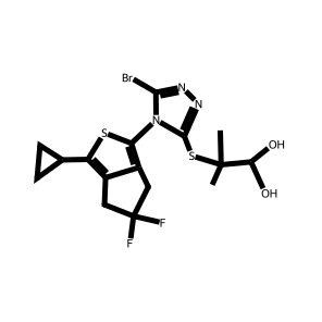 CC(C)(Sc1nnc(Br)n1-c1sc(C2CC2)c2c1CC(F)(F)C2)C(O)O